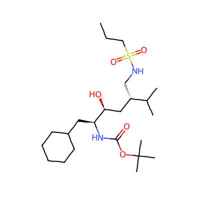 CCCS(=O)(=O)NC[C@@H](C[C@H](O)[C@H](CC1CCCCC1)NC(=O)OC(C)(C)C)C(C)C